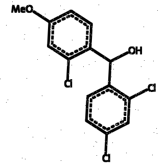 COc1ccc(C(O)c2ccc(Cl)cc2Cl)c(Cl)c1